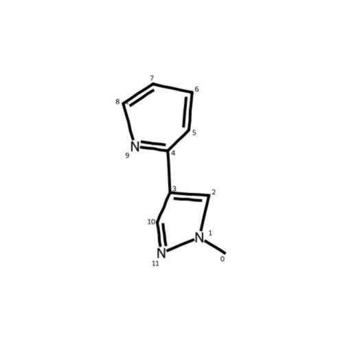 Cn1cc(-c2ccc[c]n2)cn1